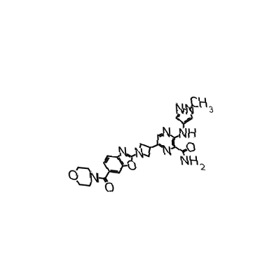 Cn1cc(Nc2ncc(C3CN(c4nc5ccc(C(=O)N6CCOCC6)cc5o4)C3)nc2C(N)=O)cn1